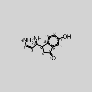 N=C(/C=C\N)C1CC(=O)c2cc(O)ccc21